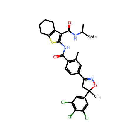 CSC(C)NC(=O)c1c(NC(=O)c2ccc(C3=NOC(c4cc(Cl)c(Cl)c(Cl)c4)(C(F)(F)F)C3)cc2C)sc2c1CCCC2